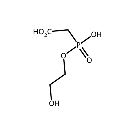 O=C(O)CP(=O)(O)OCCO